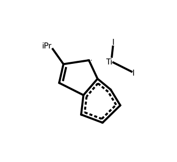 CC(C)C1=Cc2ccccc2[CH]1.[I][Ti][I]